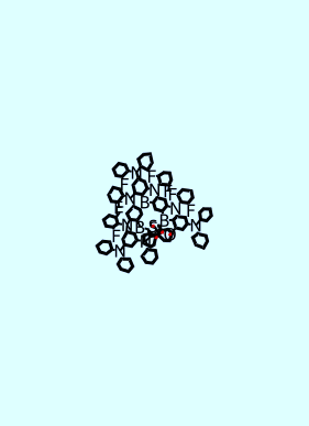 Fc1cccc(F)c1N1c2cc3c(cc2B2c4sc5ccccc5c4Oc4cc(N(c5ccccc5)c5ccccc5)cc1c42)B1c2cc4c(cc2N(c2c(F)cccc2F)c2cc(N(c5ccccc5)c5ccccc5)cc(c21)N3c1c(F)cccc1F)N(c1c(F)cccc1F)c1cc(N(c2ccccc2)c2ccccc2)cc2c1B4c1sc3ccccc3c1N2c1ccccc1